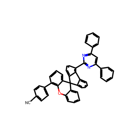 N#Cc1ccc(-c2cccc3c2Oc2ccccc2C32c3ccccc3-c3c(-c4nc(-c5ccccc5)cc(-c5ccccc5)n4)cccc32)cc1